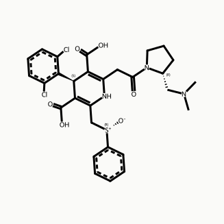 CN(C)C[C@H]1CCCN1C(=O)CC1=C(C(=O)O)[C@H](c2c(Cl)cccc2Cl)C(C(=O)O)=C(C[S@+]([O-])c2ccccc2)N1